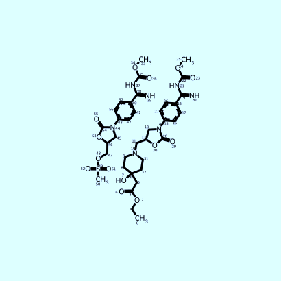 CCOC(=O)CC1(O)CCN(CC2CN(c3ccc(C(=N)NC(=O)OC)cc3)C(=O)O2)CC1.COC(=O)NC(=N)c1ccc(N2CC(COS(C)(=O)=O)OC2=O)cc1